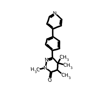 CC1C(=O)N(C)N=C(c2ccc(-c3ccncc3)cc2)C1(C)C